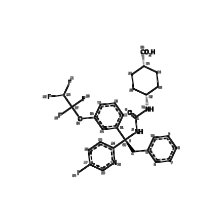 O=C(N[C@@](Cc1ccccc1)(c1cccc(OC(F)(F)C(F)F)c1)c1ccc(I)cn1)N[C@H]1CC[C@@H](C(=O)O)CC1